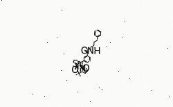 CC(C)(C)C1C=CON1n1c(-c2cccc(C(=O)NCCCCc3ccccc3)c2)csc1=O